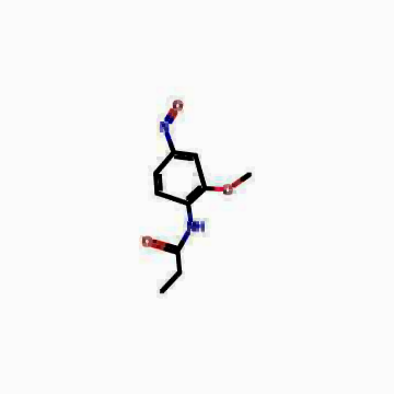 CCC(=O)Nc1ccc(N=O)cc1OC